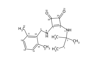 CCC(C)(C)Nc1c(NCc2c(C)cccc2C)c(=O)c1=O